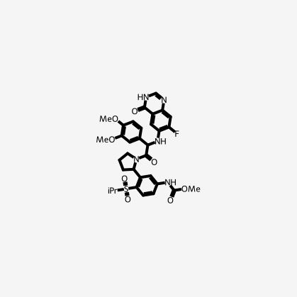 COC(=O)Nc1ccc(S(=O)(=O)C(C)C)c(C2CCCN2C(=O)C(Nc2cc3c(=O)[nH]cnc3cc2F)c2ccc(OC)c(OC)c2)c1